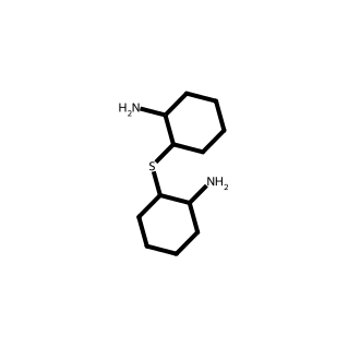 NC1CCCCC1SC1CCCCC1N